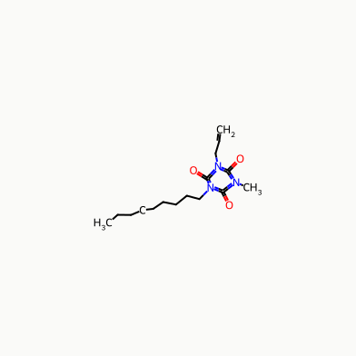 C=CCn1c(=O)n(C)c(=O)n(CCCCCCCCC)c1=O